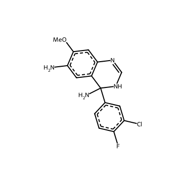 COc1cc2c(cc1N)C(N)(c1ccc(F)c(Cl)c1)NC=N2